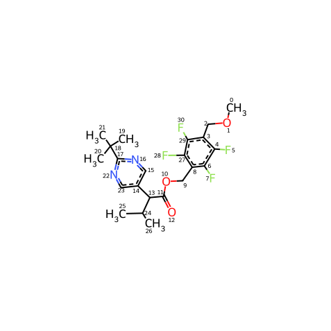 COCc1c(F)c(F)c(COC(=O)C(c2cnc(C(C)(C)C)nc2)C(C)C)c(F)c1F